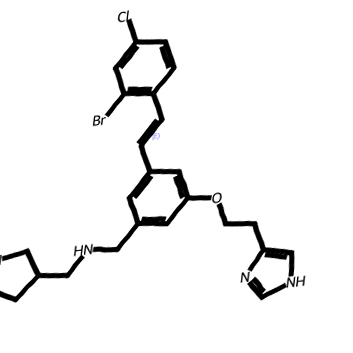 Clc1ccc(/C=C/c2cc(CNCC3CCNC3)cc(OCCc3c[nH]cn3)c2)c(Br)c1